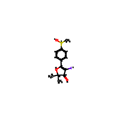 C[S+]([O-])c1ccc(C2=C(I)C(=O)C(C)(C)O2)cc1